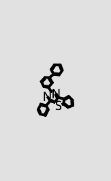 c1ccc(-c2cccc(-c3nc(-c4ccccc4)c4sc5ccccc5c4n3)c2)cc1